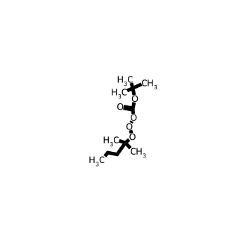 CCCC(C)(C)OOOC(=O)OC(C)(C)C